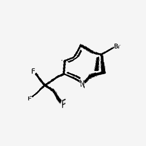 FC(F)(F)c1[c]cc(Br)cn1